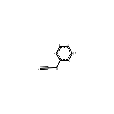 C#C[CH]c1cccnc1